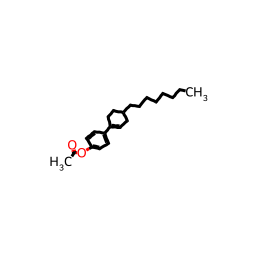 CCCCCCCCC1CC=C(c2ccc(OC(C)=O)cc2)CC1